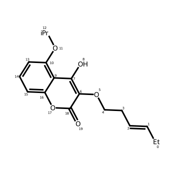 CCC=CCCOc1c(O)c2c(OC(C)C)cccc2oc1=O